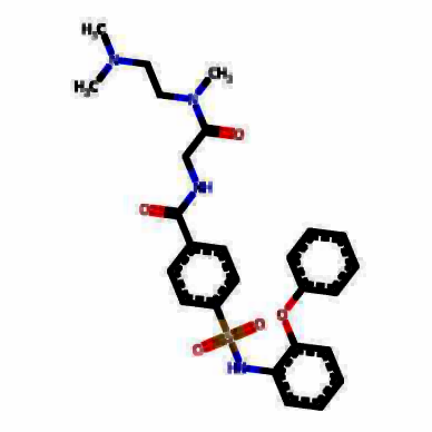 CN(C)CCN(C)C(=O)CNC(=O)c1ccc(S(=O)(=O)Nc2ccccc2Oc2ccccc2)cc1